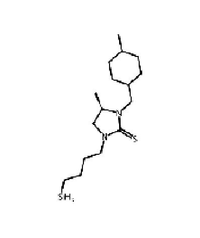 CC1CCC(CN2C(=S)N(CCCC[SiH3])C[C@H]2C)CC1